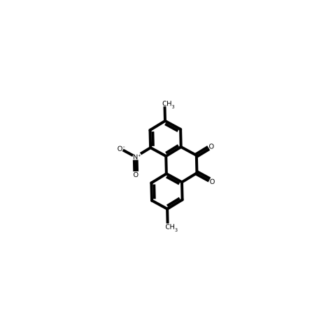 Cc1ccc2c(c1)C(=O)C(=O)c1cc(C)cc([N+](=O)[O-])c1-2